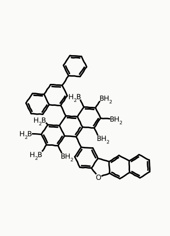 Bc1c(B)c(B)c2c(-c3cc(-c4ccccc4)cc4ccccc34)c3c(B)c(B)c(B)c(B)c3c(-c3ccc4oc5cc6ccccc6cc5c4c3)c2c1B